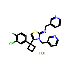 Br.Clc1ccc(C2(c3cs/c(=N\Cc4cccnc4)n3Cc3cccnc3)CCC2)cc1Cl